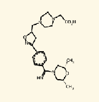 C[C@@H]1CN(C(=N)c2ccc(C3=NOC(CN4CCN(CC(=O)O)CC4)C3)cc2)C[C@H](C)O1